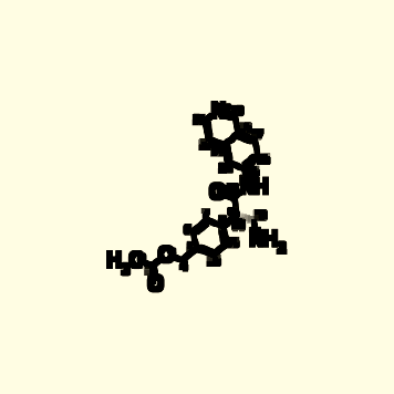 CC(=O)OCc1ccc([C@@H](CN)C(=O)Nc2ccc3cnccc3c2)cc1